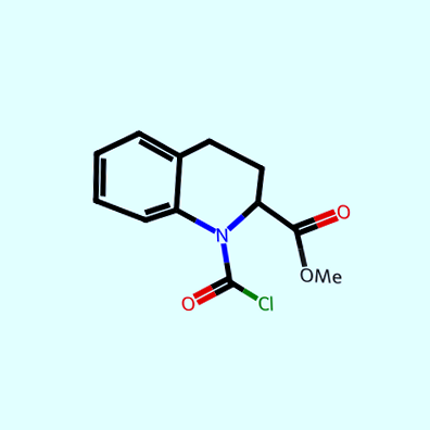 COC(=O)C1CCc2ccccc2N1C(=O)Cl